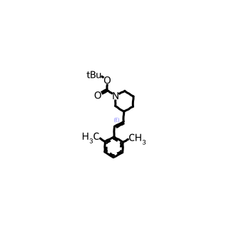 Cc1cccc(C)c1/C=C/C1CCCN(C(=O)OC(C)(C)C)C1